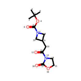 CC(C)(C)OC(=O)N1CC(CC(=O)N2CCOC2=O)C1